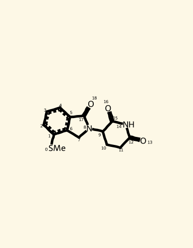 CSc1cccc2c1CN(C1CCC(=O)NC1=O)C2=O